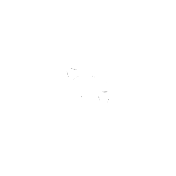 CC(Cc1ccc(Cl)cc1)NCC1OCc2c1ccc1c2OCO1.Cl